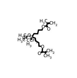 C=C(C)C(=O)OCCCC[Si](C)(CCCCOC(=O)C(=C)C)O[Si](C)(C)C